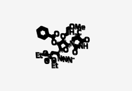 CCOP(=O)(CC(N=[N+]=[N-])[C@H]1O[C@@H](n2cc(C)c(=O)[nH]c2=O)[C@H](OCCOC)[C@@H]1OC(=O)c1ccccc1)OCC